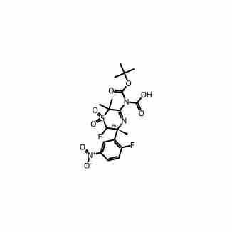 CC(C)(C)OC(=O)N(C(=O)O)C1=N[C@](C)(c2cc([N+](=O)[O-])ccc2F)C(F)S(=O)(=O)C1(C)C